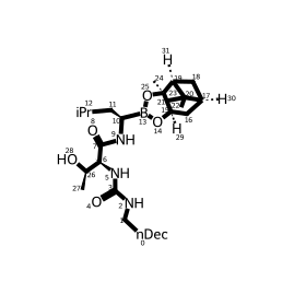 CCCCCCCCCCCNC(=O)N[C@H](C(=O)N[C@@H](CC(C)C)B1O[C@@H]2C[C@@H]3C[C@@H](C3(C)C)[C@]2(C)O1)[C@@H](C)O